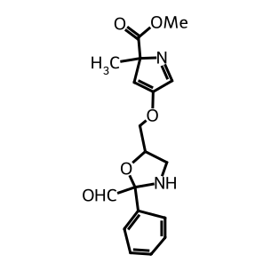 COC(=O)C1(C)C=C(OCC2CNC(C=O)(c3ccccc3)O2)C=N1